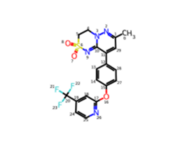 CC1=NN2CCS(=O)(=O)N=C2C(c2ccc(Oc3cc(C(F)(F)F)ccn3)cc2)=C1